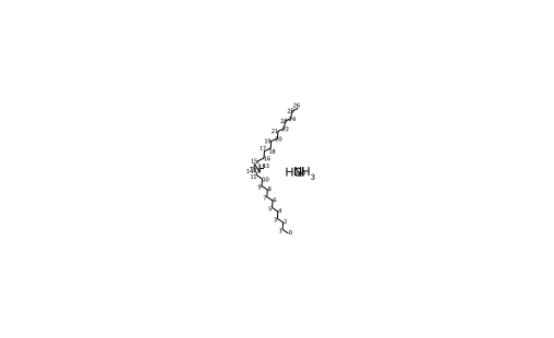 CCCCCCCCCCCC[N+](C)(C)CCCCCCCCCCCC.Cl.N